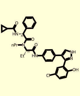 CCCN(C(=O)[C@H](NC(=O)C1CC1)c1ccccc1)[C@@H](CC)C(=O)Nc1ccc(-c2c[nH]nc2-c2cc(Cl)ccc2O)cc1